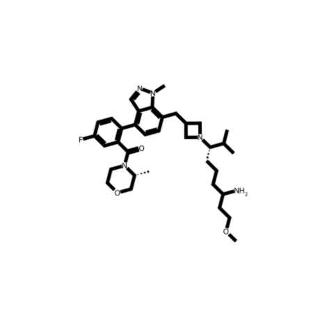 COCCC(N)CCC[C@@H](C(C)C)N1CC(Cc2ccc(-c3ccc(F)cc3C(=O)N3CCOC[C@H]3C)c3cnn(C)c23)C1